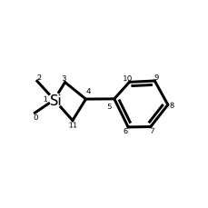 C[Si]1(C)CC(c2ccccc2)C1